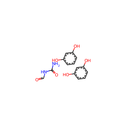 NC(=O)NC=O.Oc1cccc(O)c1.Oc1cccc(O)c1